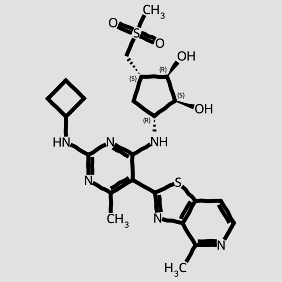 Cc1nc(NC2CCC2)nc(N[C@@H]2C[C@H](CS(C)(=O)=O)[C@@H](O)[C@H]2O)c1-c1nc2c(C)nccc2s1